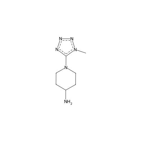 Cn1nnnc1N1CCC(N)CC1